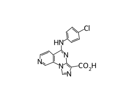 O=C(O)c1ncn2c1nc(Nc1ccc(Cl)cc1)c1ccncc12